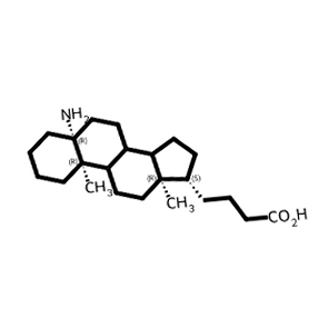 C[C@]12CCC3C(CC[C@]4(N)CCCC[C@]34C)C1CC[C@@H]2CCCC(=O)O